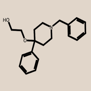 OCCOC1(c2ccccc2)CCN(Cc2ccccc2)CC1